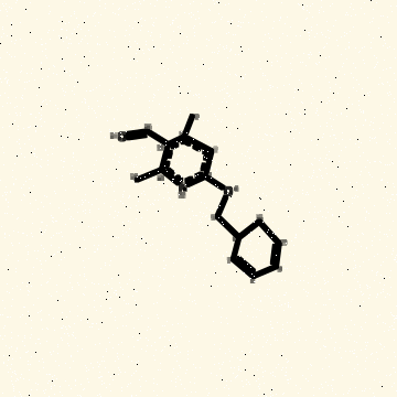 Cc1cc(OCC2C=CC=CC2)nc(C)c1C=O